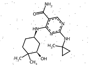 CC1(Nc2ncc(C(N)=O)c(N[C@@H]3CCC(C)(C)[C@H](O)C3)n2)CC1